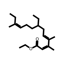 CCOC(=O)C=C(C)C(C)=CCC(CC)CCC=C(C)CC